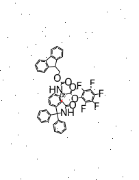 O=C(C[C@H](NC(=O)OCC1c2ccccc2-c2ccccc21)C(=O)Oc1c(F)c(F)c(F)c(F)c1F)NC(c1ccccc1)(c1ccccc1)c1ccccc1